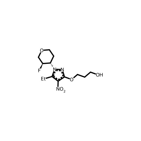 CCc1c([N+](=O)[O-])c(OCCCO)nn1[C@H]1CCOC[C@@H]1F